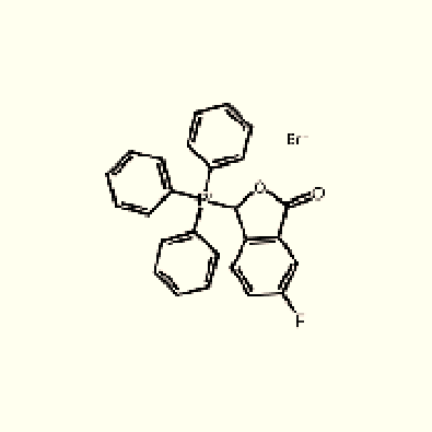 O=C1OC([P+](c2ccccc2)(c2ccccc2)c2ccccc2)c2ccc(F)cc21.[Br-]